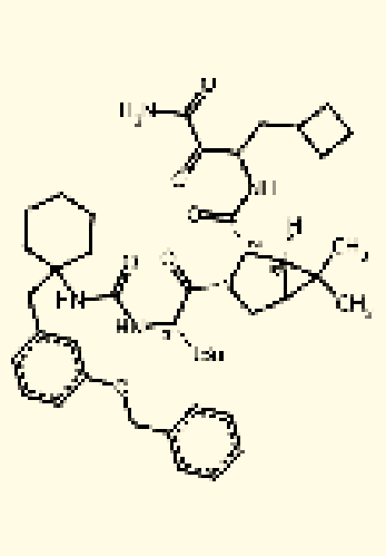 CC(C)(C)[C@H](NC(=O)NC1(Cc2cccc(OCc3ccccc3)c2)CCCCC1)C(=O)N1CC2[C@@H]([C@H]1C(=O)NC(CC1CCC1)C(=O)C(N)=O)C2(C)C